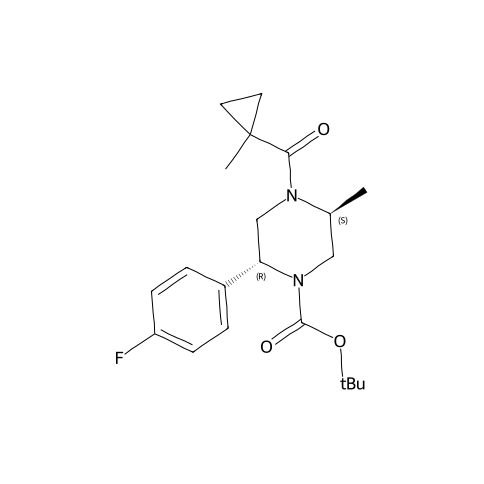 C[C@H]1CN(C(=O)OC(C)(C)C)[C@H](c2ccc(F)cc2)CN1C(=O)C1(C)CC1